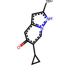 CC(C)(C)c1cc2cc(=O)c(C3CC3)cn2[nH]1